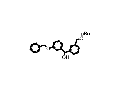 CCCCOCc1cccc(C(O)c2cccc(OCc3ccccc3)c2)c1